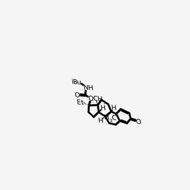 CCC(C)NC(=O)O[C@]1(CC)CC[C@H]2[C@@H]3CCC4=CC(=O)C=C[C@]4(C)[C@H]3CC[C@@]21C